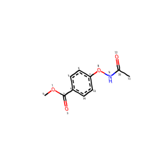 COC(=O)c1ccc(ONC(C)=O)cc1